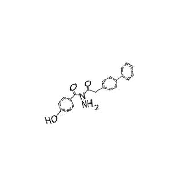 NN(C(=O)Cc1ccc(-c2ccccc2)cc1)C(=O)c1ccc(O)cc1